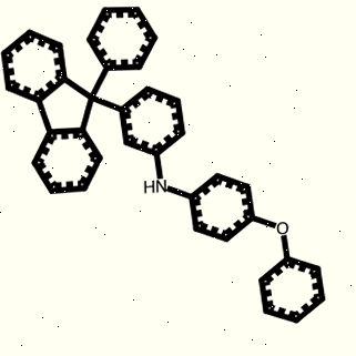 c1ccc(Oc2ccc(Nc3cccc(C4(c5ccccc5)c5ccccc5-c5ccccc54)c3)cc2)cc1